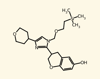 C[Si](C)(C)CCOCn1cc(C2CCOCC2)nc1C1COc2ccc(O)cc2C1